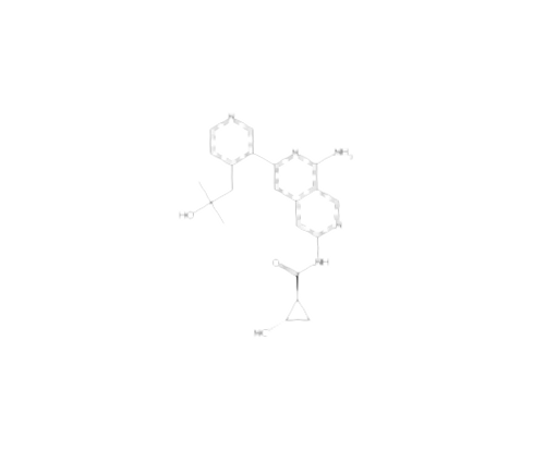 CC(C)(O)Cc1ccncc1-c1cc2cc(NC(=O)[C@H]3C[C@@H]3C#N)ncc2c(N)n1